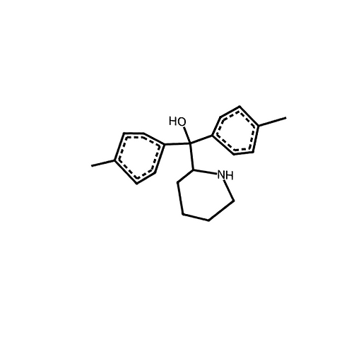 Cc1ccc(C(O)(c2ccc(C)cc2)C2CCCCN2)cc1